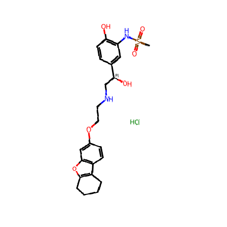 CS(=O)(=O)Nc1cc([C@@H](O)CNCCOc2ccc3c4c(oc3c2)CCCC4)ccc1O.Cl